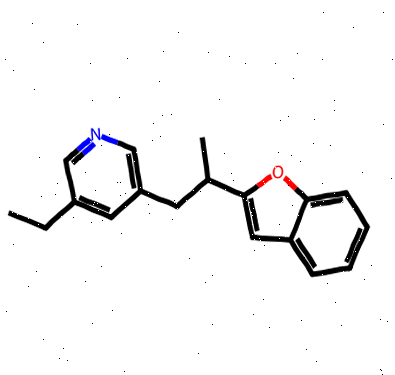 CCc1cncc(CC(C)c2cc3ccccc3o2)c1